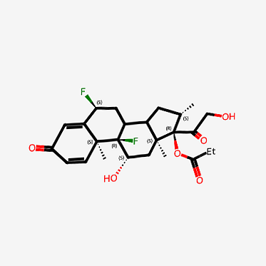 CCC(=O)O[C@]1(C(=O)CO)[C@@H](C)CC2C3C[C@H](F)C4=CC(=O)C=C[C@]4(C)[C@@]3(F)[C@@H](O)C[C@@]21C